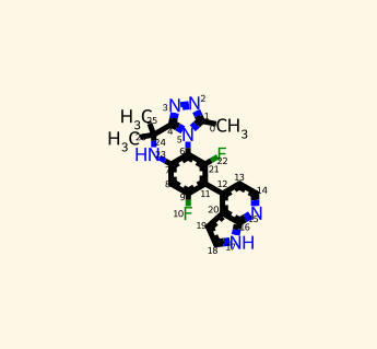 Cc1nnc2n1-c1c(cc(F)c(-c3ccnc4[nH]ccc34)c1F)NC2(C)C